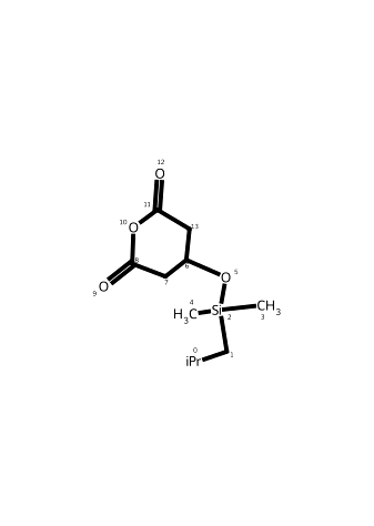 CC(C)C[Si](C)(C)OC1CC(=O)OC(=O)C1